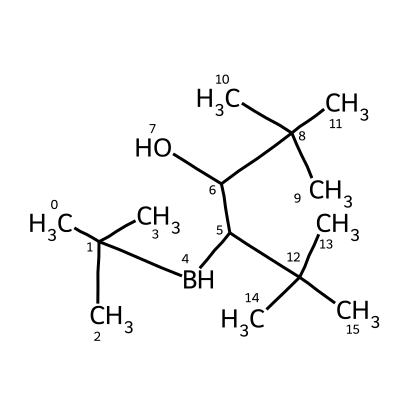 CC(C)(C)BC(C(O)C(C)(C)C)C(C)(C)C